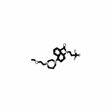 CCOCCN1CCCN(c2ccc3c4c(cccc24)C(=O)N3CCC(F)(F)F)CC1